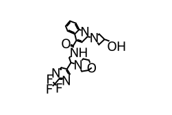 O=C(NCC(c1cnc(C(F)(F)F)nc1)N1CCOCC1)c1cc(N2CC(CO)C2)nc2ccccc12